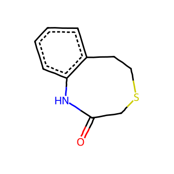 O=C1CSCCc2ccccc2N1